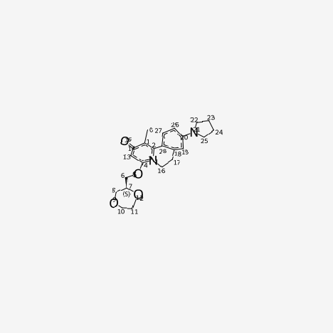 Cc1c2n(c(OC[C@@H]3COCCO3)cc1=O)CCc1cc(N3CCCC3)ccc1-2